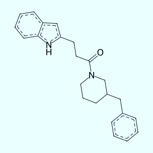 O=C(CCc1cc2ccccc2[nH]1)N1CCCC(Cc2ccccc2)C1